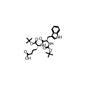 CC(C)(C)OC(=O)N[C@H](Cc1c[nH]c2ccccc12)C(=O)N[C@H](CCCC(=O)O)C(=O)OC(C)(C)C